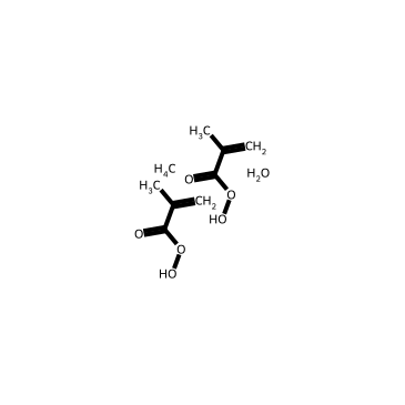 C.C=C(C)C(=O)OO.C=C(C)C(=O)OO.O